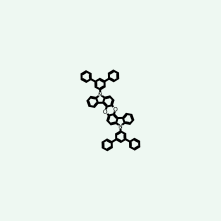 c1ccc(-c2cc(-c3ccccc3)cc(-n3c4ccccc4c4c5c(ccc43)Oc3c(ccc4c3c3ccccc3n4-c3cc(-c4ccccc4)cc(-c4ccccc4)c3)O5)c2)cc1